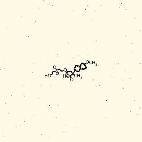 COc1ccc2cc(C(C)(CC(=O)OCCS(=O)(=O)CCO)C(=O)O)ccc2c1